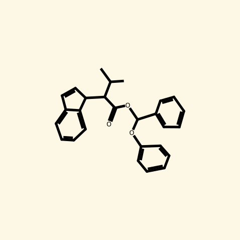 CC(C)C(C(=O)OC(Oc1ccccc1)c1ccccc1)C1C=Cc2ccccc21